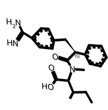 CCC(C)C(C(=O)O)N(C)C(=O)[C@@H](Cc1ccc(C(=N)N)cc1)c1ccccc1